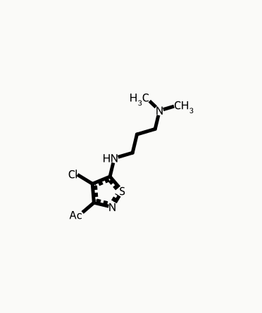 CC(=O)c1nsc(NCCCN(C)C)c1Cl